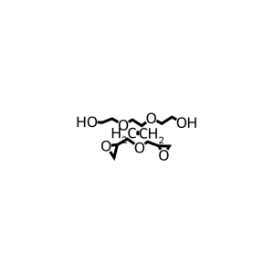 C(OCC1CO1)C1CO1.C=C.OCCOCCOCCO